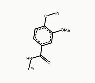 CCCNC(=O)c1ccc(OC(C)C)c(OC)c1